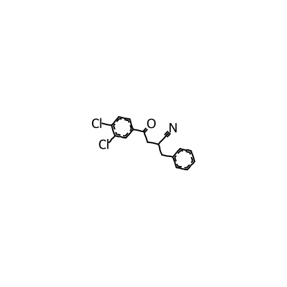 N#CC(CC(=O)c1ccc(Cl)c(Cl)c1)Cc1ccccc1